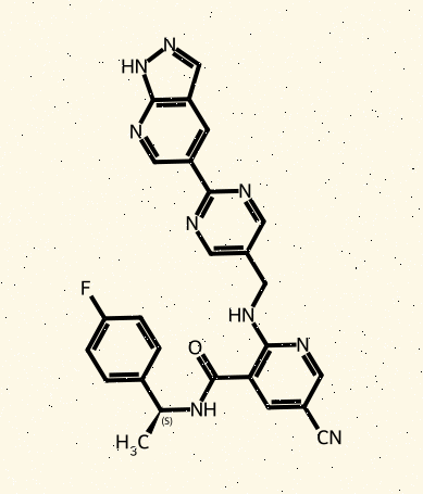 C[C@H](NC(=O)c1cc(C#N)cnc1NCc1cnc(-c2cnc3[nH]ncc3c2)nc1)c1ccc(F)cc1